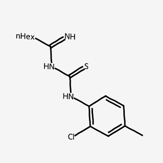 CCCCCCC(=N)NC(=S)Nc1ccc(C)cc1Cl